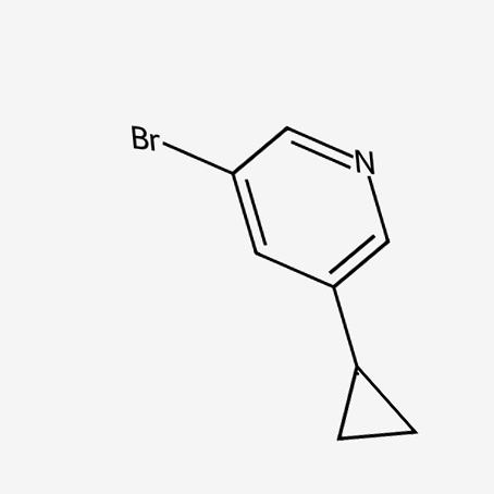 Brc1cncc([C]2CC2)c1